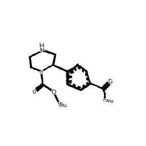 COC(=O)c1ccc(C2CNCCN2C(=O)OC(C)(C)C)cc1